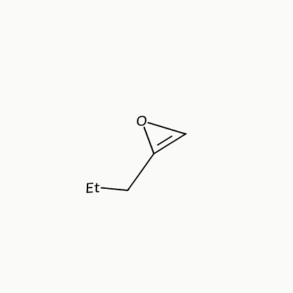 CCCC1=CO1